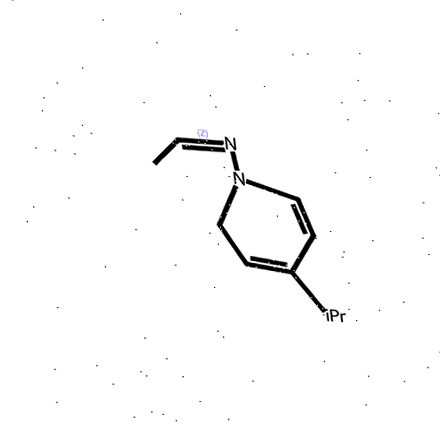 C/C=N\N1C=CC(C(C)C)=CC1